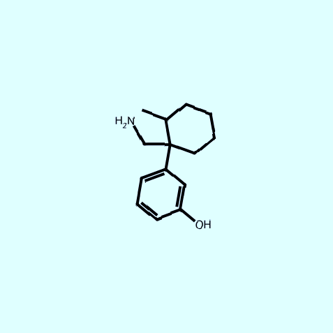 CC1CCCCC1(CN)c1cccc(O)c1